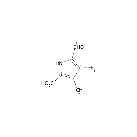 CCc1c(C=O)[nH]c(C(=O)O)c1C